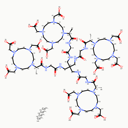 C[C@@H](C(=O)NCC(=O)NCC(CNC(=O)CNC(=O)[C@H](C)N1CCN(CC(=O)[O-])CCN(CC(=O)[O-])CCN(CC(=O)[O-])CC1)(CNC(=O)CNC(=O)[C@H](C)N1CCN(CC(=O)[O-])CCN(CC(=O)[O-])CCN(CC(=O)[O-])CC1)CNC(=O)CNC(=O)[C@H](C)N1CCN(CC(=O)[O-])CCN(CC(=O)[O-])CCN(CC(=O)[O-])CC1)N1CCN(CC(=O)[O-])CCN(CC(=O)[O-])CCN(CC(=O)[O-])CC1.[Gd+3].[Gd+3].[Gd+3].[Gd+3]